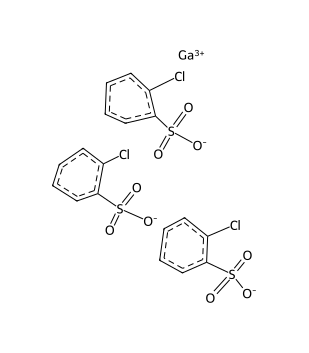 O=S(=O)([O-])c1ccccc1Cl.O=S(=O)([O-])c1ccccc1Cl.O=S(=O)([O-])c1ccccc1Cl.[Ga+3]